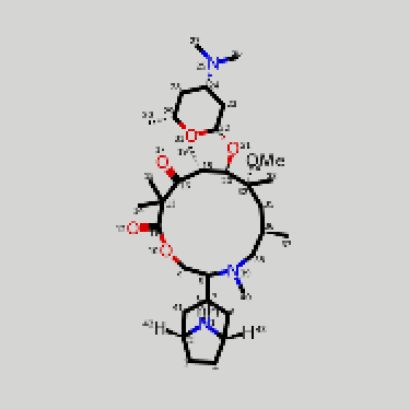 CCCN1[C@@H]2CC[C@H]1CC(C1COC(=O)C(C)(C)C(=O)[C@H](C)[C@@H](O[C@H]3C[C@@H](N(C)C)C[C@@H](C)O3)[C@](C)(OC)C[C@@H](C)CN1C)C2